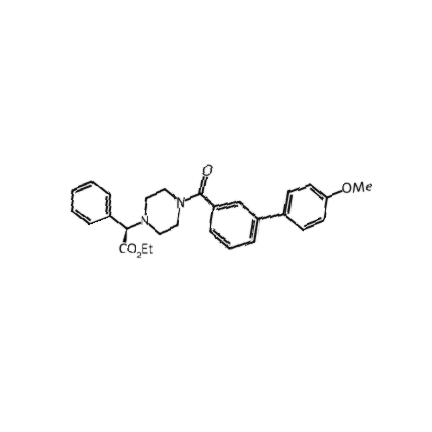 CCOC(=O)[C@@H](c1ccccc1)N1CCN(C(=O)c2cccc(-c3ccc(OC)cc3)c2)CC1